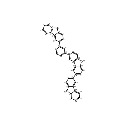 c1cc(-c2ccc3oc4ccncc4c3c2)cc(-c2ccc3oc4ccc(-c5ccc6oc7cccnc7c6c5)cc4c3c2)c1